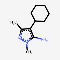 Cc1nn(C)c(N)c1C1CCCCC1